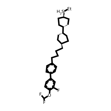 CC[SiH2][C@H]1CC[C@H]([C@H]2CC[C@H](CCCCc3ccc(-c4ccc(OC(F)F)c(F)c4)cc3)CC2)CC1